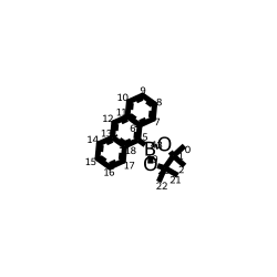 CC1(C)OB(c2c3ccccc3cc3ccccc23)OC1(C)C